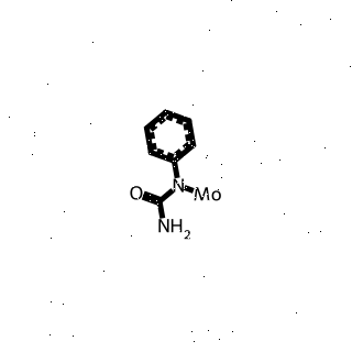 NC(=O)[N]([Mo])c1ccccc1